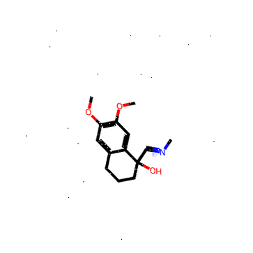 C/N=C/C1(O)CCCc2cc(OC)c(OC)cc21